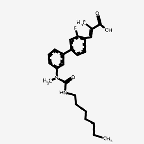 CCCCCCCNC(=O)N(C)c1cccc(-c2ccc(/C=C(\C)C(=O)O)c(F)c2)c1